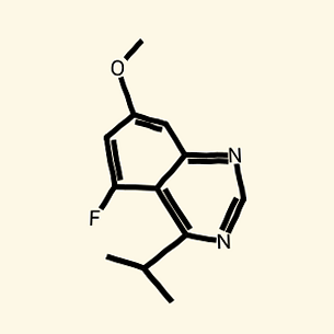 COc1cc(F)c2c(C(C)C)ncnc2c1